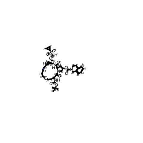 CC(C)(C)OC(=O)N[C@H]1CCCCC/C=C\[C@@H]2C[C@@]2(CONS(=O)(=O)C2CC2)NC(=O)[C@@H]2C[C@@H](OC(=O)N3CCc4c(F)cccc4C3)CN2C1=O